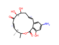 CC1OC(=O)c2c(O)cc(N)cc2/C=C/CC(O)[C@H](O)C(=O)/C=C\[C@H]1C